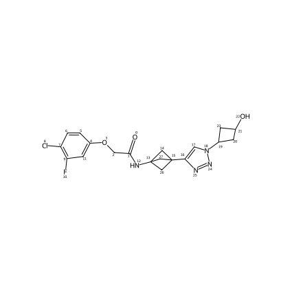 O=C(COc1ccc(Cl)c(F)c1)NC12CC(c3cn(C4CC(O)C4)nn3)(C1)C2